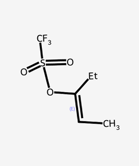 C/C=C(\CC)OS(=O)(=O)C(F)(F)F